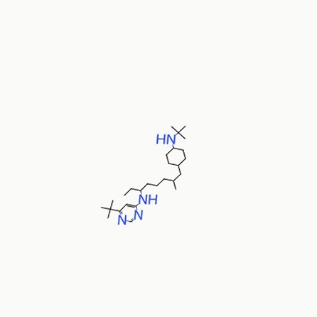 CCC(CCCC(C)CC1CCC(NC(C)(C)C)CC1)Nc1cc(C(C)(C)C)ncn1